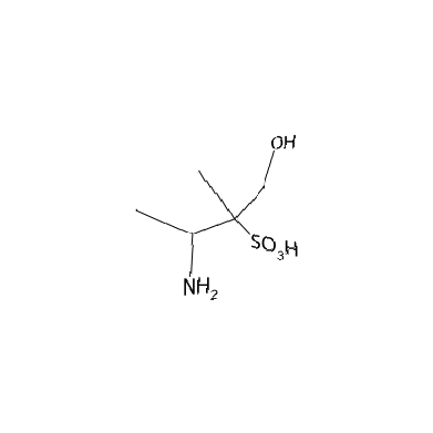 CC(N)C(C)(CO)S(=O)(=O)O